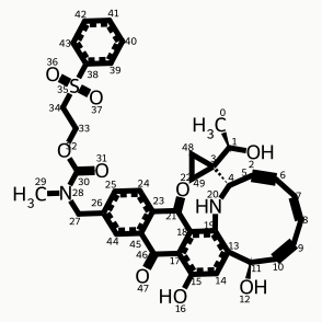 C[C@@H](O)C1([C@@H]2C#C/C=C\C#C[C@@H](O)c3cc(O)c4c(c3N2)C(=O)c2ccc(CN(C)C(=O)OCCS(=O)(=O)c3ccccc3)cc2C4=O)CC1